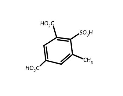 Cc1cc(C(=O)O)cc(C(=O)O)c1S(=O)(=O)O